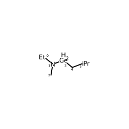 CC[N](C)[GeH2][CH2]C(C)C